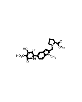 CCc1c(-c2ccc3c(c2)cc(CN2CCCC2C(=O)OC)n3C)[nH]c(=O)c(C(=O)O)c1O